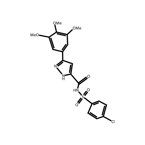 COc1cc(-c2cc(C(=O)NS(=O)(=O)c3ccc(Cl)cc3)[nH]n2)cc(OC)c1OC